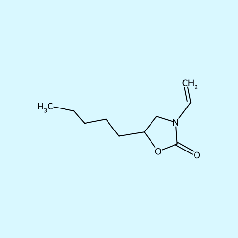 C=CN1CC(CCCCC)OC1=O